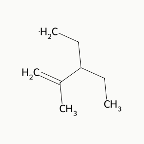 [CH2]CC(CC)C(=C)C